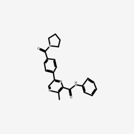 Cc1ncc(-c2ccc(C(=O)N3CCCC3)cc2)nc1C(=O)Nc1ccccc1